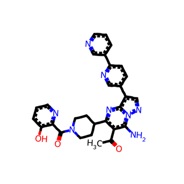 CC(=O)c1c(C2CCN(C(=O)c3ncccc3O)CC2)nc2c(-c3ccc(-c4cccnc4)nc3)cnn2c1N